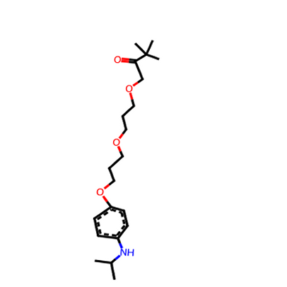 CC(C)Nc1ccc(OCCCOCCCOCC(=O)C(C)(C)C)cc1